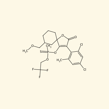 COCC1CCCC2(C1)OC(=O)C(c1c(C)cc(Cl)cc1Cl)=C2OP(C)(=S)OCC(F)(F)F